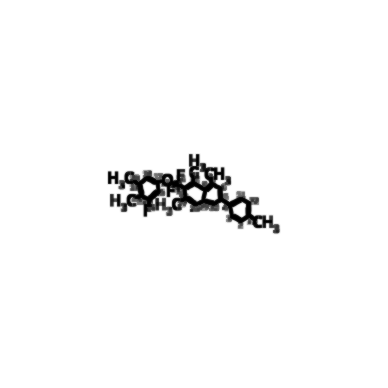 Cc1ccc(-c2cc(C)c3c(C)c(C(F)(F)Oc4cc(C)c(C)c(F)c4)c(C)cc3c2)cc1